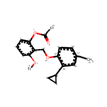 CCOc1cccc(OC(=O)CC)c1COc1ccc(C)cc1C1CC1